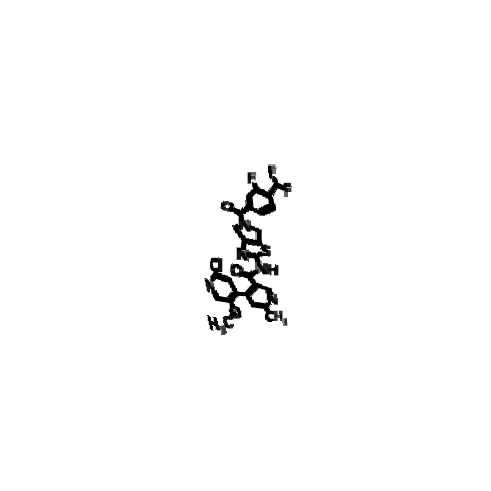 COc1cnc(Cl)cc1-c1cc(C)ncc1C(=O)Nc1nc2c(s1)CN(C(=O)c1ccc(C(F)F)c(F)c1)C2